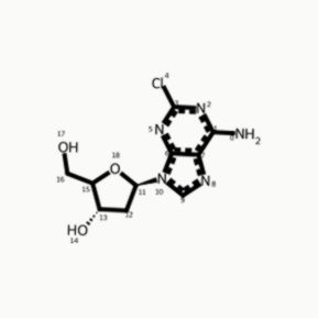 Nc1nc(Cl)nc2c1ncn2[C@H]1C[C@H](O)C(CO)O1